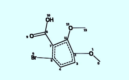 COc1ccc(Br)c(C(=O)O)c1OC